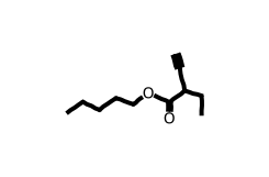 [C]#CC(CC)C(=O)OCCCCC